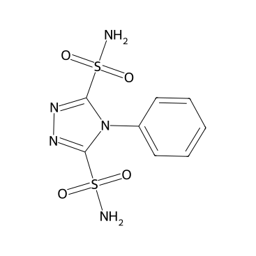 NS(=O)(=O)c1nnc(S(N)(=O)=O)n1-c1ccccc1